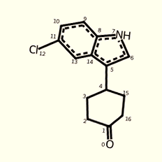 O=C1CCC(c2c[nH]c3ccc(Cl)cc23)CC1